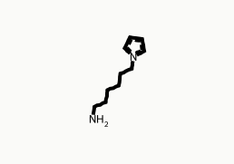 NCCCCCCn1cccc1